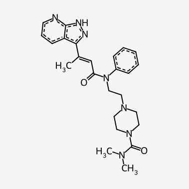 C/C(=C\C(=O)N(CCN1CCN(C(=O)N(C)C)CC1)c1ccccc1)c1n[nH]c2ncccc12